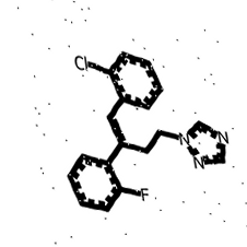 Fc1ccccc1C(=Cc1ccccc1Cl)CCn1cncn1